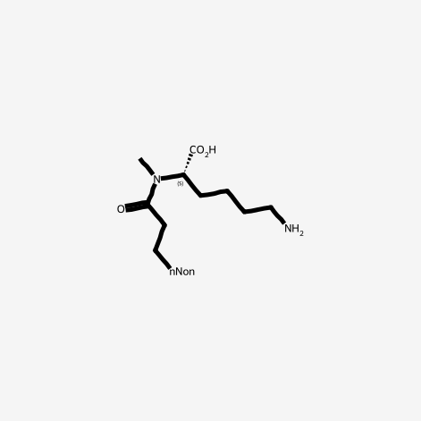 CCCCCCCCCCCC(=O)N(C)[C@@H](CCCCN)C(=O)O